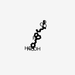 C=C(C=CCC(C)(C)OC(=O)OC)[C@H]1CC[C@H]2C(=CC=C3CCC(O)C(O)(O)C3)CCC[C@]12C